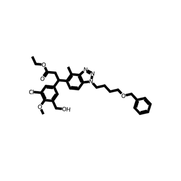 CCOC(=O)CC(c1cc(Cl)c(OC)c(CO)c1)c1ccc2c(nnn2CCCCOCc2ccccc2)c1C